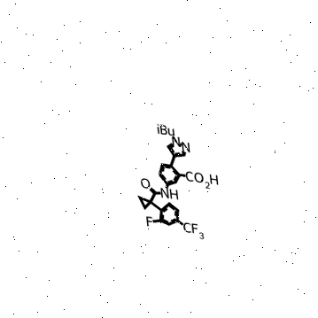 CC[C@H](C)n1cc(-c2ccc(NC(=O)C3(c4ccc(C(F)(F)F)cc4F)CC3)cc2C(=O)O)cn1